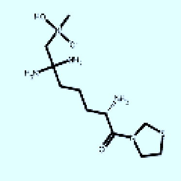 C[N+]([O-])(O)CC(N)(N)CCC[C@H](N)C(=O)N1CCSC1